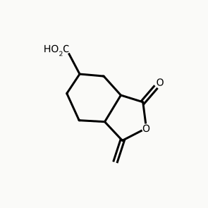 C=C1OC(=O)C2CC(C(=O)O)CCC12